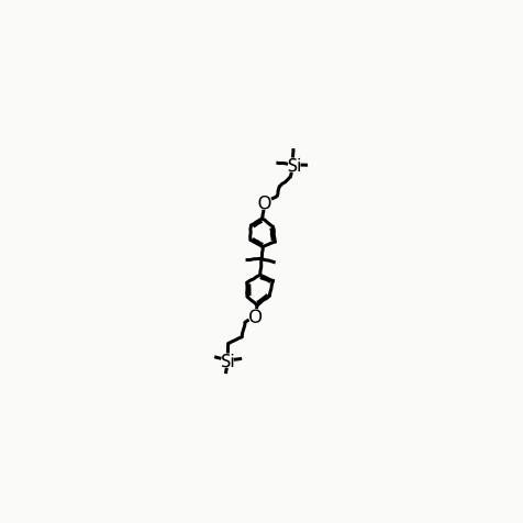 CC(C)(c1ccc(OCCC[Si](C)(C)C)cc1)c1ccc(OCCC[Si](C)(C)C)cc1